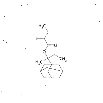 CCC(I)C(=O)OC(C)(CC)C12CC3CC(CC(C3)C1)C2